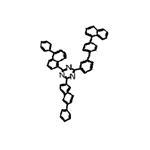 c1ccc(-c2ccc3cc(-c4nc(-c5cccc(-c6ccc(-c7cccc8ccccc78)cc6)c5)nc(-c5cccc6c(-c7ccccc7)cccc56)n4)ccc3c2)cc1